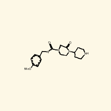 COc1ccc(C[N]C(=O)N2CCN(C3CCNCC3)C(=O)C2)cc1